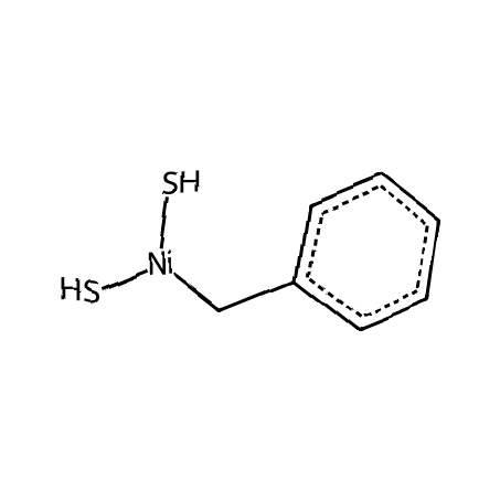 [SH][Ni]([SH])[CH2]c1ccccc1